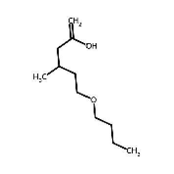 C=C(O)CC(C)CCOCCCC